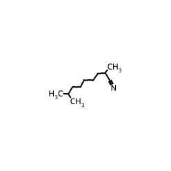 CC(C)CCCCCC(C)C#N